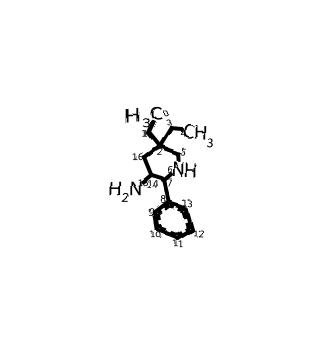 CCC1(CC)CNC(c2ccccc2)C(N)C1